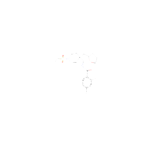 CCS(=O)(=O)N1CCC(CNC(=O)c2ccc(C)cc2Br)(CC2CCCO2)CC1